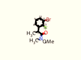 CON(C)C(=O)C(C)c1cccc(Br)c1F